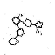 Cn1cnnc1C1CCN(c2c(C#N)cccc2-c2cncc(C3CCCCO3)c2)CC1